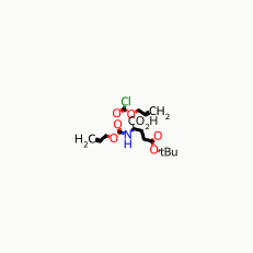 C=CCOC(=O)Cl.C=CCOC(=O)N[C@@H](CCC(=O)OC(C)(C)C)C(=O)O